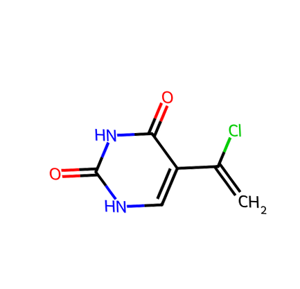 C=C(Cl)c1c[nH]c(=O)[nH]c1=O